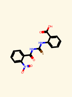 O=C(O)c1ccccc1NC(=S)NC(=O)c1ccccc1[N+](=O)[O-]